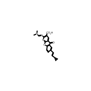 CN(C)C=Nc1nc2oc3ccc(/C=C/C4CC4)cc3c(=O)c2cc1C(=O)O